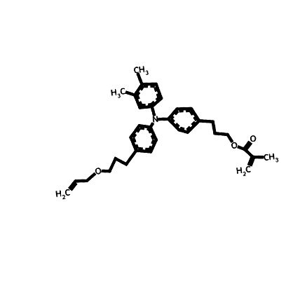 C=CCOCCCc1ccc(N(c2ccc(CCCOC(=O)C(=C)C)cc2)c2ccc(C)c(C)c2)cc1